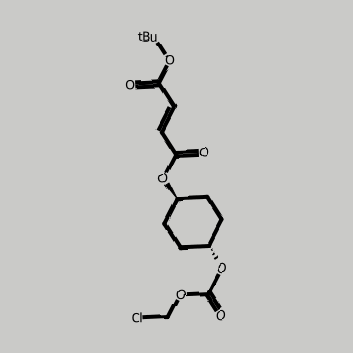 CC(C)(C)OC(=O)/C=C/C(=O)O[C@H]1CC[C@H](OC(=O)OCCl)CC1